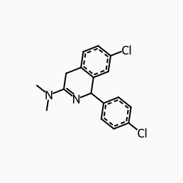 CN(C)C1=NC(c2ccc(Cl)cc2)c2cc(Cl)ccc2C1